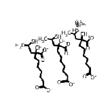 CC(S)CC(C)(CCCCCCC(=O)[O-])C(=O)[O-].CC(S)CC(C)(CCCCCCC(=O)[O-])C(=O)[O-].CC(S)CC(C)(CCCCCCC(=O)[O-])C(=O)[O-].[Bi+3].[Bi+3]